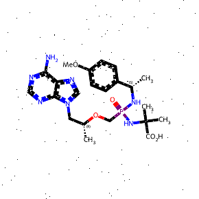 COc1ccc([C@H](C)NP(=O)(CO[C@H](C)Cn2cnc3c(N)ncnc32)NC(C)(C)C(=O)O)cc1